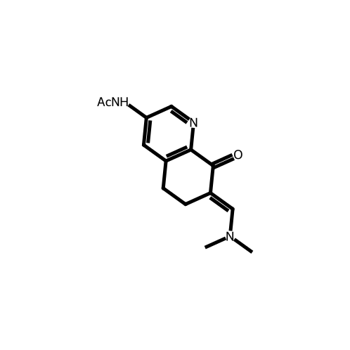 CC(=O)Nc1cnc2c(c1)CCC(=CN(C)C)C2=O